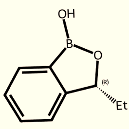 CC[C@H]1OB(O)c2ccccc21